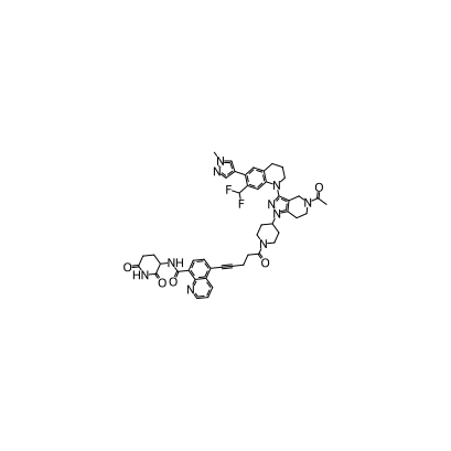 CC(=O)N1CCc2c(c(N3CCCc4cc(-c5cnn(C)c5)c(C(F)F)cc43)nn2C2CCN(C(=O)CCC#Cc3ccc(C(=O)NC4CCC(=O)NC4=O)c4ncccc34)CC2)C1